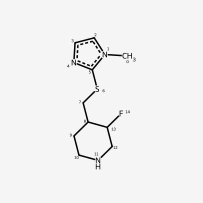 Cn1ccnc1SCC1CCNCC1F